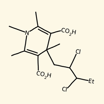 CCC(Cl)C(Cl)CC1(C)C(C(=O)O)=C(C)N(C)C(C)=C1C(=O)O